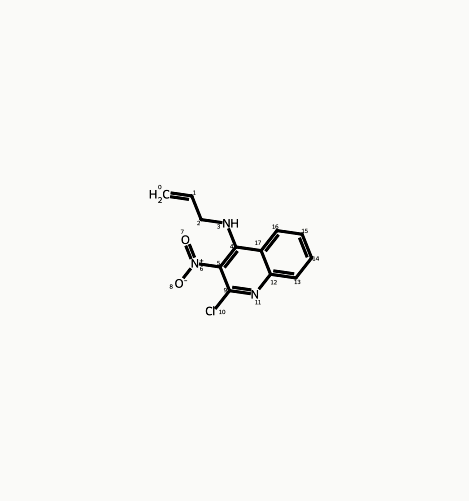 C=CCNc1c([N+](=O)[O-])c(Cl)nc2ccccc12